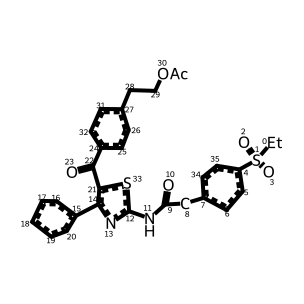 CCS(=O)(=O)c1ccc(CC(=O)Nc2nc(-c3ccccc3)c(C(=O)c3ccc(CCOC(C)=O)cc3)s2)cc1